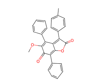 COC1=C(c2ccccc2)C2=C(c3ccc(C)cc3)C(=O)OC2=C(c2ccccc2)C1=O